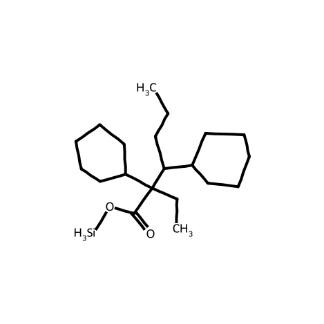 CCCC(C1CCCCC1)C(CC)(C(=O)O[SiH3])C1CCCCC1